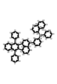 c1ccc(-c2c3c(c(-c4ccccc4)c4ccccc24)-c2ccc(-c4cccc(N(c5cccnc5)c5ccnc6ccccc56)c4)c4cccc-3c24)cc1